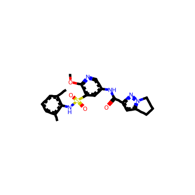 COc1ncc(NC(=O)c2cc3n(n2)CCC3)cc1S(=O)(=O)Nc1c(C)cccc1C